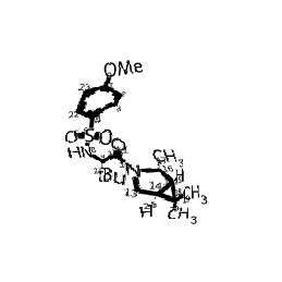 COc1ccc(S(=O)(=O)N[C@H](C(=O)N2C[C@H]3[C@@H]([C@H]2C)C3(C)C)C(C)(C)C)cc1